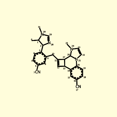 CC1C(c2ccc(C#N)cc2CC2=CC3c4cc(C#N)ccc4N4C=CN(C)C4C23)N=CN1C